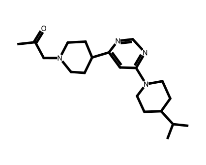 CC(=O)CN1CCC(c2cc(N3CCC(C(C)C)CC3)ncn2)CC1